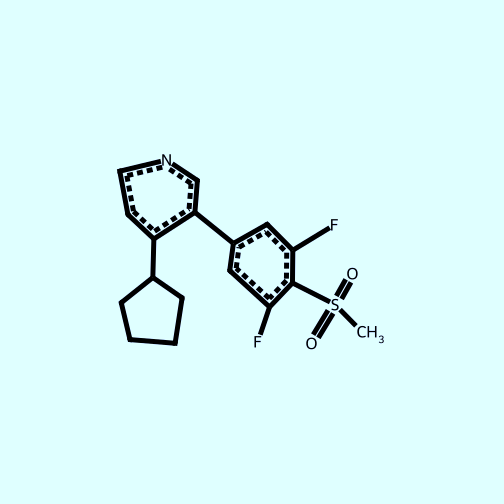 CS(=O)(=O)c1c(F)cc(-c2cnccc2C2CCCC2)cc1F